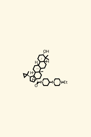 CCN1CCN(C2CCN(C(=O)[C@]34CC[C@@H](C5(C)CC5)[C@@H]3[C@H]3CC[C@@H]5[C@@]6(C)CC[C@H](O)C(C)(C)[C@@H]6CC[C@@]5(C)[C@]3(C)CC4)CC2)CC1